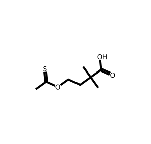 CC(=S)OCCC(C)(C)C(=O)O